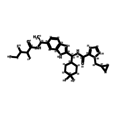 C[C@@H](NC(=O)C(F)C(F)CF)c1ccc2nc([C@@H](NC(=O)c3ncnn3CC3CC3)C3CCC(F)(F)CC3)[nH]c2c1